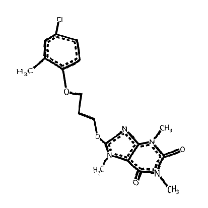 Cc1cc(Cl)ccc1OCCCOc1nc2c(c(=O)n(C)c(=O)n2C)n1C